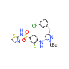 CC(C)(C)n1nc(Cc2cccc(Cl)c2)cc1Nc1ccc(S(=O)(=O)Nc2nccs2)cc1F